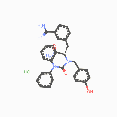 Cl.N=C(N)c1cccc(C[C@H](C(N)=O)N(Cc2ccc(O)cc2)C(=O)N(c2ccccc2)c2ccccc2)c1